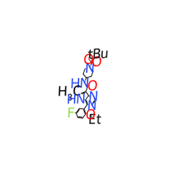 CCOc1ccc(F)cc1-c1ncnc2c(C(=O)NC3CCN(C(=O)OC(C)(C)C)CC3)c(C)[nH]c12